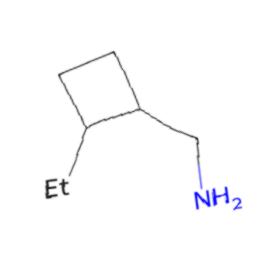 CCC1CCC1CN